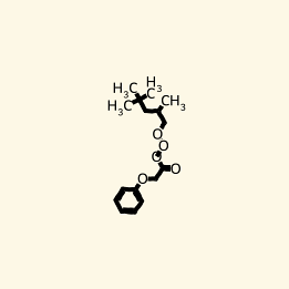 CC(COOOC(=O)COc1ccccc1)CC(C)(C)C